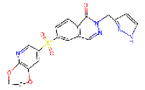 O=c1c2ccc(S(=O)(=O)c3cnc4c(c3)OCCO4)cc2cnn1Cc1cc[nH]n1